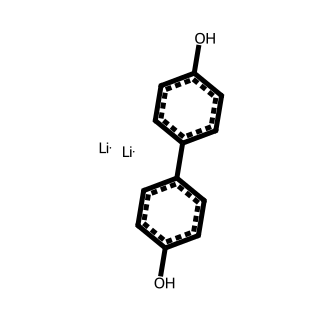 Oc1ccc(-c2ccc(O)cc2)cc1.[Li].[Li]